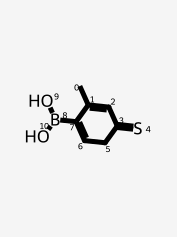 CC1=CC(=S)CC=C1B(O)O